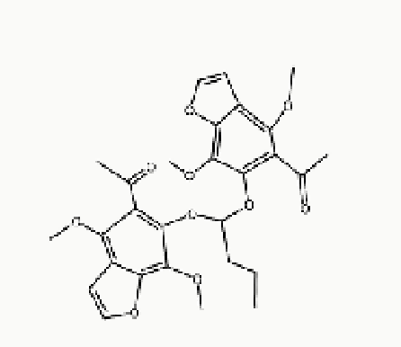 CCCC(Oc1c(C(C)=O)c(OC)c2ccoc2c1OC)Oc1c(C(C)=O)c(OC)c2ccoc2c1OC